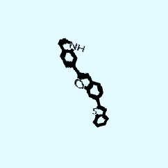 c1ccc2sc(-c3ccc4cc(-c5ccc6cc[nH]c6c5)oc4c3)cc2c1